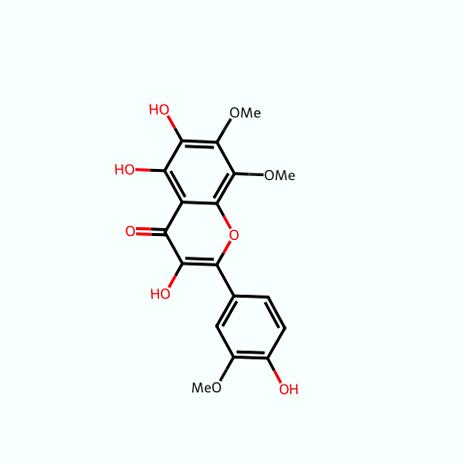 COc1cc(-c2oc3c(OC)c(OC)c(O)c(O)c3c(=O)c2O)ccc1O